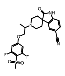 CC(COc1cc(F)c(S(C)(=O)=O)c(F)c1)N1CCC2(CC1)C(=O)Nc1ccc(C#N)cc12